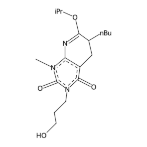 CCCCC1Cc2c(n(C)c(=O)n(CCCO)c2=O)N=C1OC(C)C